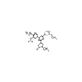 CC[C@H]1CN(c2cc(-c3cnc(N)c(OC(F)F)c3)nc(N3CC(C)C(F)C3)n2)CCO1